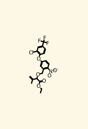 C=C(C)C(OCc1cc(Oc2ccc(C(F)(F)F)cc2Cl)ccc1[N+](=O)[O-])C(=O)OCC